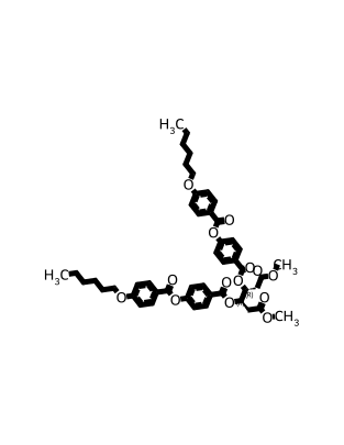 CCCCCCOc1ccc(C(=O)Oc2ccc(C(=O)O[C@H](CC(=O)OC)[C@@H](CC(=O)OC)OC(=O)c3ccc(OC(=O)c4ccc(OCCCCCC)cc4)cc3)cc2)cc1